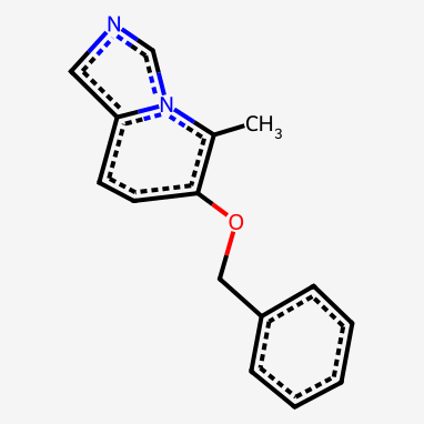 Cc1c(OCc2ccccc2)ccc2cncn12